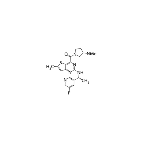 CNC1CCN(C(=O)c2nc(N[C@@H](C)c3cncc(F)c3)nc3cc(C)sc23)C1